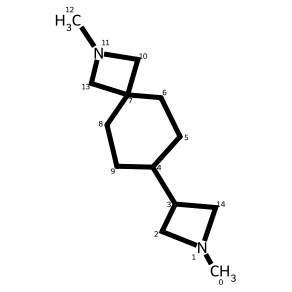 CN1CC(C2CCC3(CC2)CN(C)C3)C1